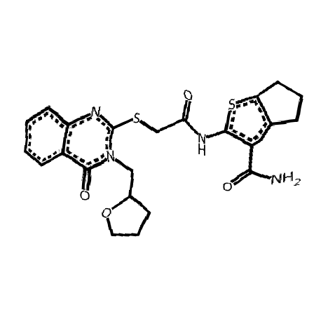 NC(=O)c1c(NC(=O)CSc2nc3ccccc3c(=O)n2CC2CCCO2)sc2c1CCC2